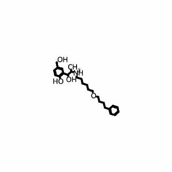 CC(NCCCCCCOCCCCc1ccccc1)C(O)c1cc(CO)ccc1O